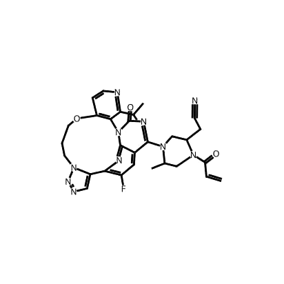 C=CC(=O)N1CC(C)N(c2nc(=O)n3c4nc(c(F)cc24)-c2cnnn2CCCOc2ccnc(C(C)C)c2-3)CC1CC#N